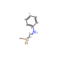 C[SH]=C=Nc1ccccc1